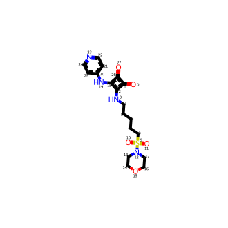 O=c1c(NCCCCCS(=O)(=O)N2CCOCC2)c(Nc2ccncc2)c1=O